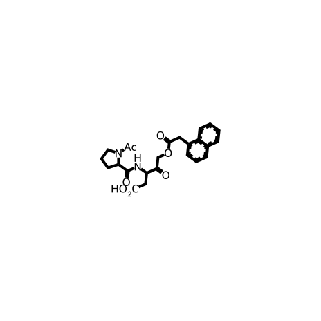 CC(=O)N1CCCC1C(=O)NC(CC(=O)O)C(=O)COC(=O)Cc1cccc2ccccc12